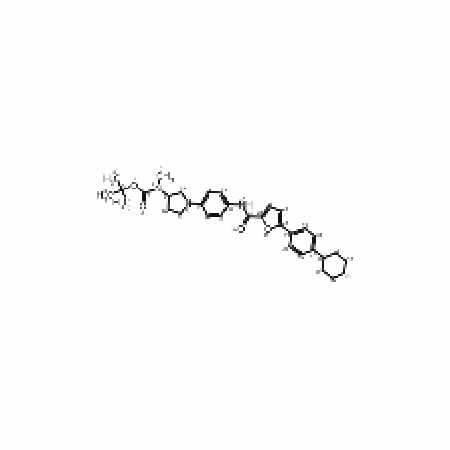 CN(C(=O)OC(C)(C)C)C1CCN(c2ccc(NC(=O)c3ccc(-c4ccc(C5CCCCC5)cc4)o3)cc2)C1